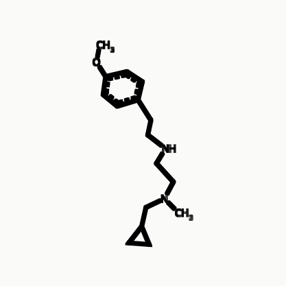 COc1ccc(CCNCCN(C)CC2CC2)cc1